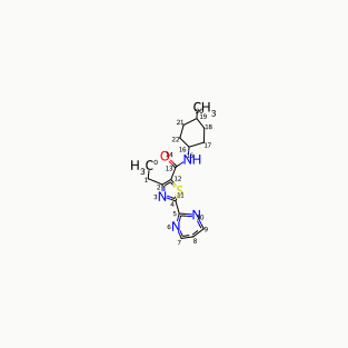 CCc1nc(-c2ncccn2)sc1C(=O)NC1CCC(C)CC1